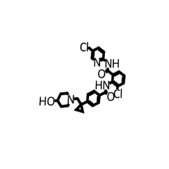 O=C(Nc1c(Cl)cccc1C(=O)Nc1ccc(Cl)cn1)c1ccc(C2(CN3CCC(O)CC3)CC2)cc1